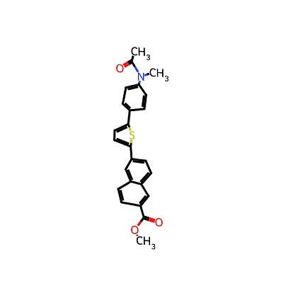 COC(=O)c1ccc2cc(-c3ccc(-c4ccc(N(C)C(C)=O)cc4)s3)ccc2c1